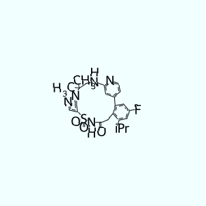 CC(C)c1cc(F)cc2c1CC(=O)NS(=O)(=O)c1cnn(c1)C(C)(C)CNc1cc-2ccn1